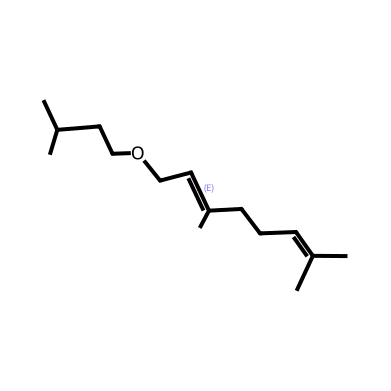 CC(C)=CCC/C(C)=C/COCCC(C)C